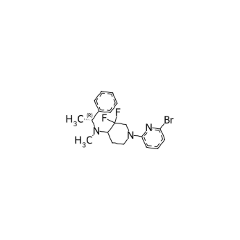 C[C@H](c1ccccc1)N(C)C1CCN(c2cccc(Br)n2)CC1(F)F